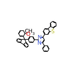 CC12CC=CC=C1C1(c3ccc(-c4nc(-c5ccccc5)cc(-c5ccc6c(c5)sc5ccccc56)n4)cc3O2)c2ccccc2-c2ccccc21